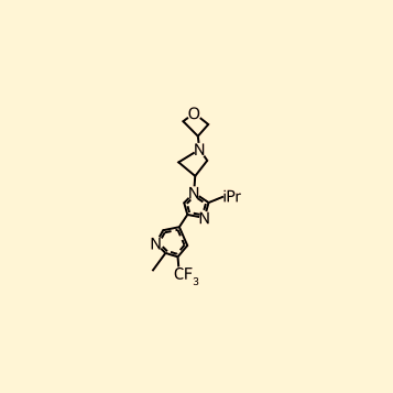 Cc1ncc(-c2cn(C3CN(C4COC4)C3)c(C(C)C)n2)cc1C(F)(F)F